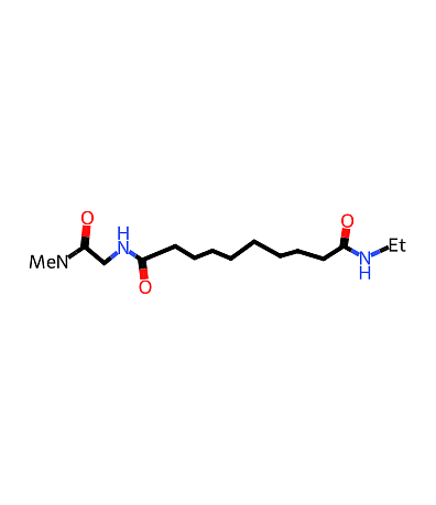 CCNC(=O)CCCCCCCCC(=O)NCC(=O)NC